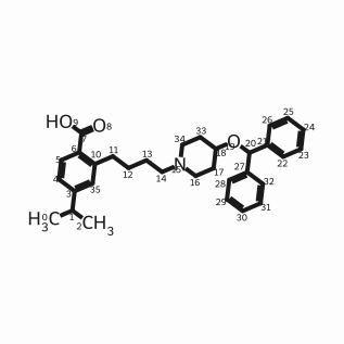 CC(C)c1ccc(C(=O)O)c(CCCCN2CCC(OC(c3ccccc3)c3ccccc3)CC2)c1